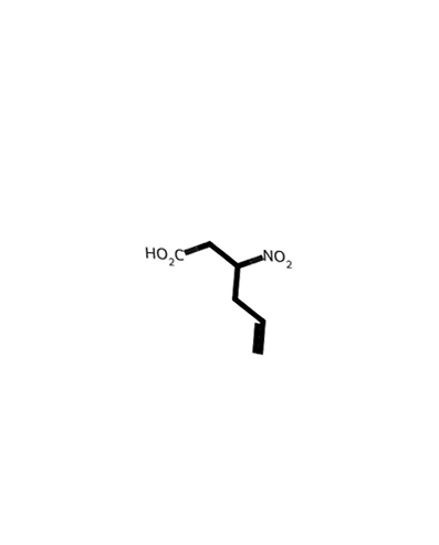 C=CCC(CC(=O)O)[N+](=O)[O-]